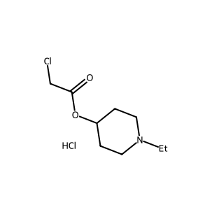 CCN1CCC(OC(=O)CCl)CC1.Cl